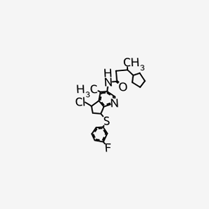 Cc1c(NC(=O)CC(C)C2CCCC2)cnc2c1C(Cl)CC2Sc1cccc(F)c1